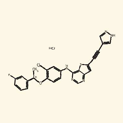 C[C@@H](Oc1ccc(Nc2ncnc3cc(C#Cc4cn[nH]c4)sc23)cc1Cl)c1cccc(F)c1.Cl